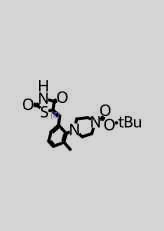 Cc1cccc(/C=C2\SC(=O)NC2=O)c1N1CCN(C(=O)OC(C)(C)C)CC1